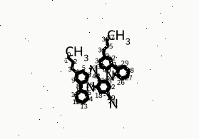 CCCCc1ccc2c(c1)c1ccccc1n2-c1cc(C#N)cc(-n2c3ccccc3c3cc(CCCC)ccc32)c1C#N